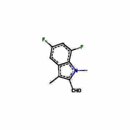 Cc1c(C=O)n(C)c2c(F)cc(F)cc12